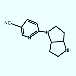 N#Cc1ccc(N2CCC3NCCC32)nc1